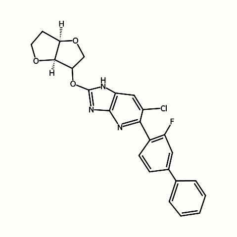 Fc1cc(-c2ccccc2)ccc1-c1nc2nc(OC3CO[C@@H]4CCO[C@H]34)[nH]c2cc1Cl